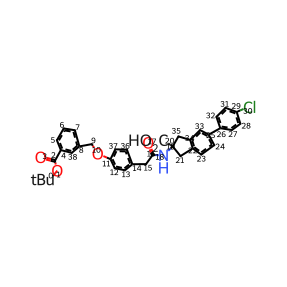 CC(C)(C)OC(=O)c1cccc(COc2ccc(CC(=O)NC3(C(=O)O)Cc4ccc(-c5ccc(Cl)cc5)cc4C3)cc2)c1